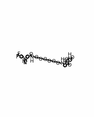 Cn1cc2c3cc(C(=O)NCCOCCOCCOCCOCCOCCOCCNc4cccc5c4C(=O)N(C4CCC(=O)NC4=O)C5=O)ccc3n(-c3ccc(C(C)(F)F)cc3)c2n1